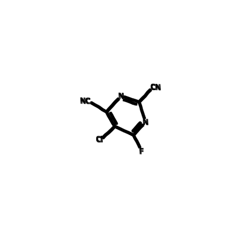 N#Cc1nc(F)c(Cl)c(C#N)n1